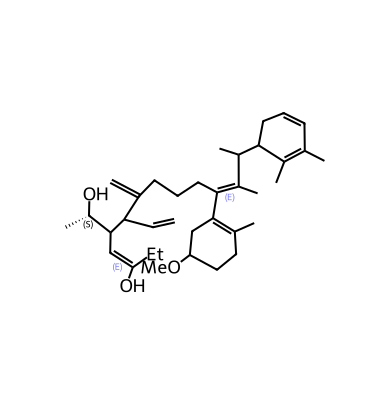 C=CC(C(=C)CCC/C(C1=C(C)CCC(OC)C1)=C(/C)C(C)C1CC=CC(C)=C1C)C(/C=C(/O)CC)[C@H](C)O